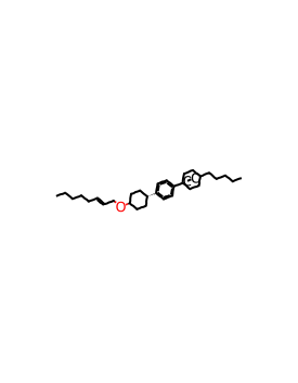 CCCCCC=CCO[C@H]1CC[C@H](c2ccc(C34CCC(CCCCC)(CC3)CC4)cc2)CC1